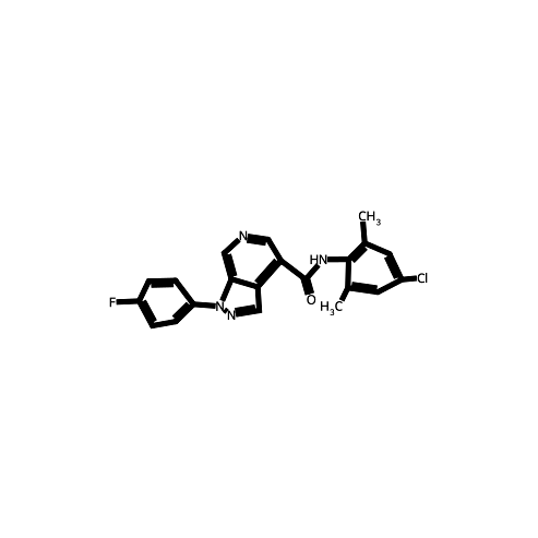 Cc1cc(Cl)cc(C)c1NC(=O)c1cncc2c1cnn2-c1ccc(F)cc1